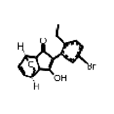 CCc1ccc(Br)cc1C1=C(O)C2C(C1=O)[C@@H]1C=C[C@H]2CC1